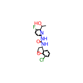 CC(O)c1nc(NC(=O)N[C@H]2CCOc3c(Cl)cccc32)ccc1F